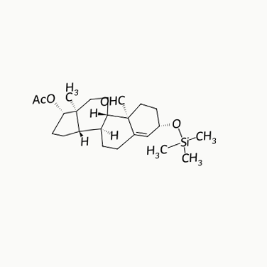 CC(=O)O[C@H]1CC[C@H]2[C@@H]3CCC4=C[C@@H](O[Si](C)(C)C)CC[C@]4(C=O)[C@H]3CC[C@]12C